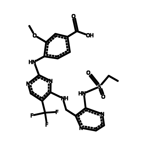 CCS(=O)(=O)Nc1nccnc1CNc1nc(Nc2ccc(C(=O)O)cc2OC)ncc1C(F)(F)F